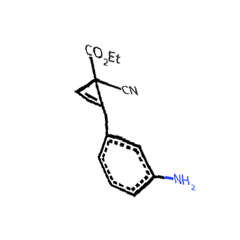 CCOC(=O)C1(C#N)C=C1c1cccc(N)c1